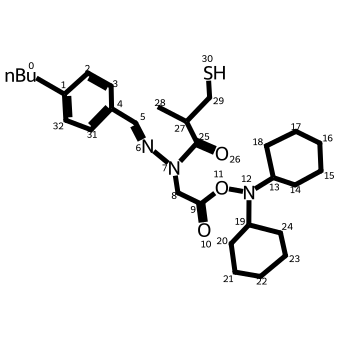 CCCCc1ccc(C=NN(CC(=O)ON(C2CCCCC2)C2CCCCC2)C(=O)C(C)CS)cc1